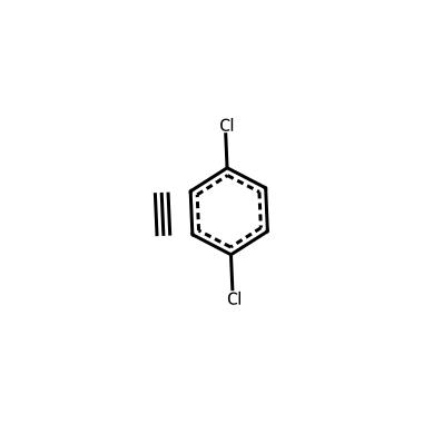 C#C.Clc1ccc(Cl)cc1